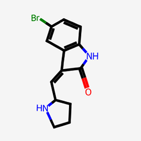 O=C1Nc2ccc(Br)cc2/C1=C/C1CCCN1